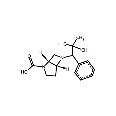 CC(C)(C)C(c1ccccc1)N1C[C@@H]2[C@H]1CCN2C(=O)O